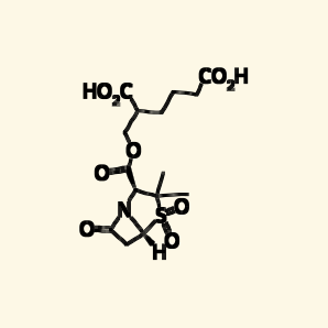 CC1(C)[C@H](C(=O)OCC(CCCC(=O)O)C(=O)O)N2C(=O)C[C@H]2S1(=O)=O